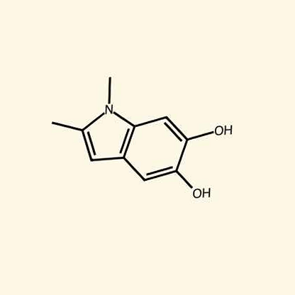 Cc1cc2cc(O)c(O)cc2n1C